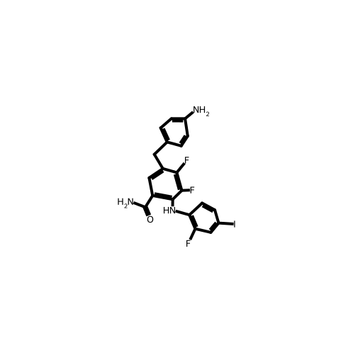 NC(=O)c1cc(Cc2ccc(N)cc2)c(F)c(F)c1Nc1ccc(I)cc1F